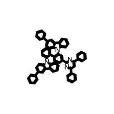 c1ccc(-c2ccc3c(c2)c2ccccc2n3-c2ccccc2-c2ccc(-c3nc(-c4ccccc4)cc(-c4ccccc4)n3)cc2-n2c3ccccc3c3cc(-c4ccccc4)ccc32)cc1